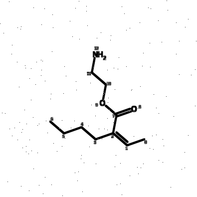 CC=C(CCCC)C(=O)OCCN